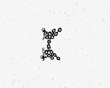 CCC1(COc2ccc(C3(c4ccccc4)c4cc(-c5ccccc5)ccc4-c4ccc(N(c5ccc(-c6ccc(N(c7ccc(F)c(F)c7)c7ccc8c(c7)C(c7ccccc7)(c7ccc(OCC9(CC)COC9)cc7)c7cc(-c9ccccc9)ccc7-8)cc6)cc5)c5ccc(F)c(F)c5)cc43)cc2)COC1